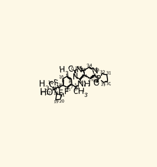 Cc1nc(N[C@H](C)c2cccc(C(F)(F)[C@](C)(O)C3CCC3)c2F)c2cc(P3(=O)CCCC3)ncc2n1